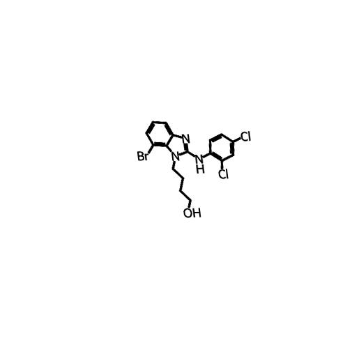 OCCCCn1c(Nc2ccc(Cl)cc2Cl)nc2cccc(Br)c21